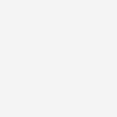 c1ccc2c(c1)nnc1ccsc12